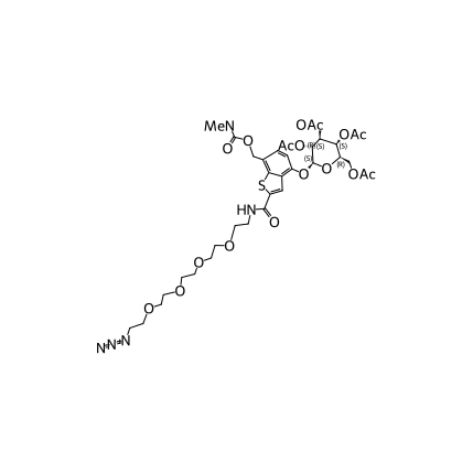 CNC(=O)OCc1ccc(O[C@@H]2O[C@H](COC(C)=O)[C@H](OC(C)=O)[C@H](OC(C)=O)[C@H]2OC(C)=O)c2cc(C(=O)NCCOCCOCCOCCOCCN=[N+]=[N-])sc12